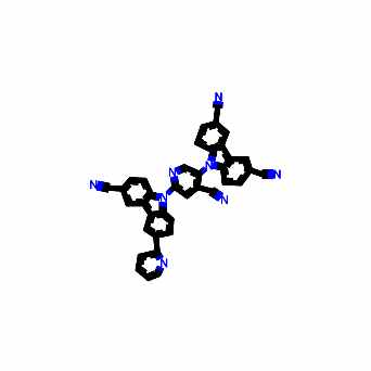 N#Cc1ccc2c(c1)c1cc(-c3ccccn3)ccc1n2-c1cc(C#N)c(-n2c3ccc(C#N)cc3c3cc(C#N)ccc32)cn1